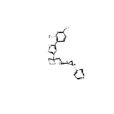 N#Cc1ccc(-c2nc(C3(CN[C@H]4C[C@@H]4c4ccccc4)CCC3)no2)c(F)c1